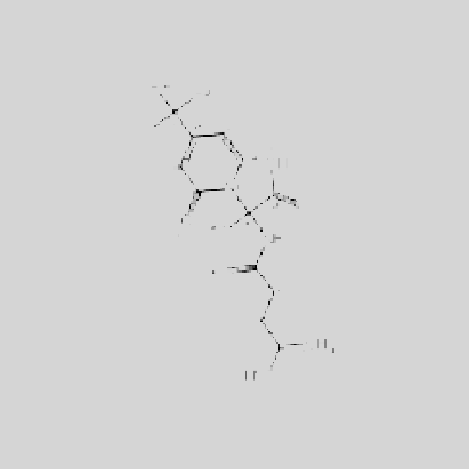 CC(C)CCC(=O)NC(C)(C(=O)O)n1ccc(C(F)(F)F)cc1=O